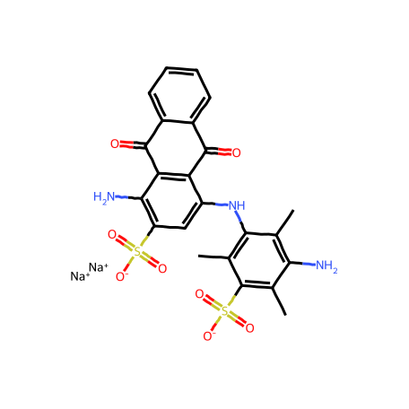 Cc1c(N)c(C)c(S(=O)(=O)[O-])c(C)c1Nc1cc(S(=O)(=O)[O-])c(N)c2c1C(=O)c1ccccc1C2=O.[Na+].[Na+]